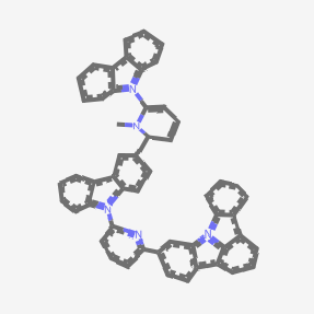 CN1C(n2c3ccccc3c3ccccc32)=CC=CC1c1ccc2c(c1)c1ccccc1n2-c1cccc(-c2ccc3c4cccc5c6ccccc6n(c3c2)c54)n1